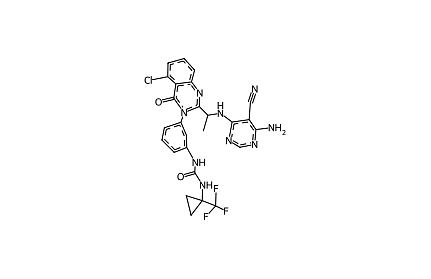 CC(Nc1ncnc(N)c1C#N)c1nc2cccc(Cl)c2c(=O)n1-c1cccc(NC(=O)NC2(C(F)(F)F)CC2)c1